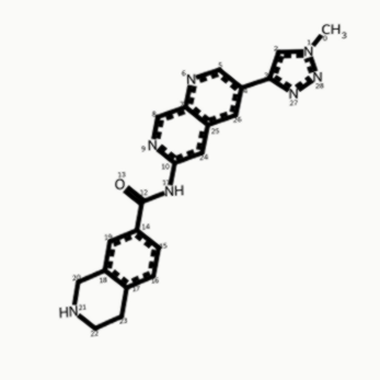 Cn1cc(-c2cnc3cnc(NC(=O)c4ccc5c(c4)CNCC5)cc3c2)nn1